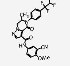 COc1ccc(NC(=O)c2cnn3c2C(=O)N(c2ccc(C(F)(F)C(F)F)cc2)C(C)C3)cc1C#N